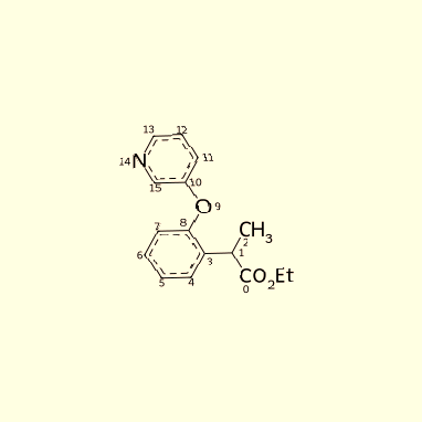 CCOC(=O)C(C)c1ccccc1Oc1cccnc1